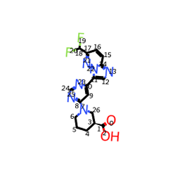 O=C(O)[C@H]1CCCN(c2cc(-c3cnc4ccc(C(F)F)nn34)ncn2)C1